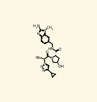 Cn1c(N)nc2ccc(CNC(=O)[C@@H]3C[C@@H](O)CN3C(=O)[C@@H](n3cc(C4CC4)nn3)C(C)(C)C)cc21